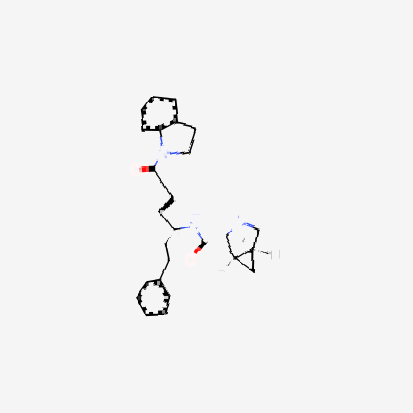 O=C(N[C@H](C=CC(=O)N1CCc2ccccc21)CCc1ccccc1)[C@@H]1NC[C@@H]2C[C@@H]21